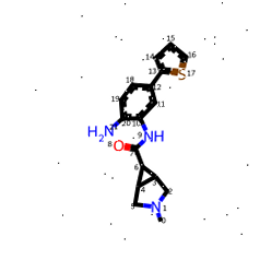 CN1CC2C(C1)C2C(=O)Nc1cc(-c2cccs2)ccc1N